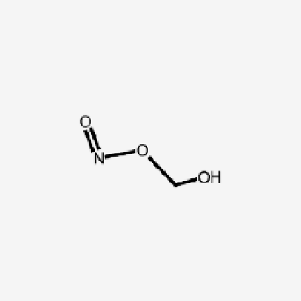 O=NOCO